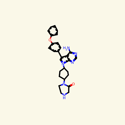 Nc1ncnc2c1c(-c1ccc(Oc3ccccc3)cc1)cn2C1CCC(N2CCNCC2=O)CC1